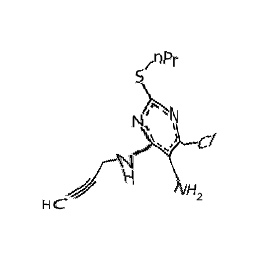 C#CCNc1nc(SCCC)nc(Cl)c1N